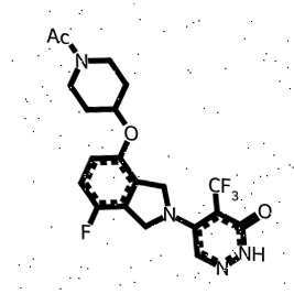 CC(=O)N1CCC(Oc2ccc(F)c3c2CN(c2cn[nH]c(=O)c2C(F)(F)F)C3)CC1